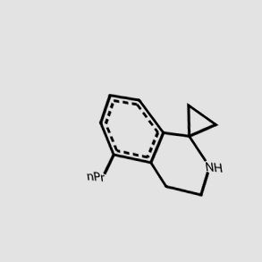 CCCc1cccc2c1CCNC21CC1